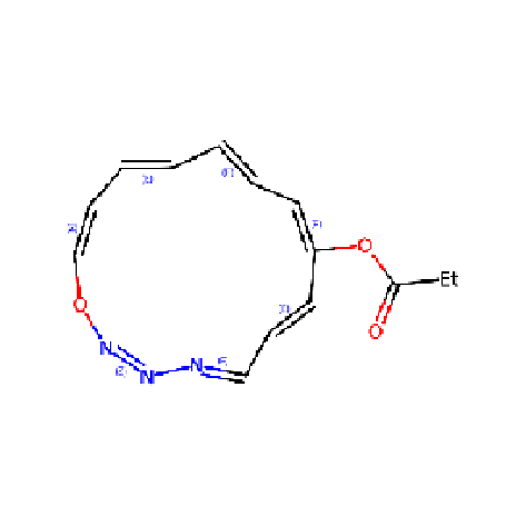 CCC(=O)OC1=C/C=C/C=C/C=C\O/N=N\N=C\C=C\1